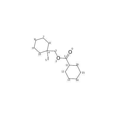 O=C(OCC1(I)CCCCC1)C1CCCCC1